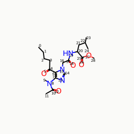 CCCCC(=O)c1c(N(C)C(C)=O)ncn1CC(=O)NC(CC(C)C)C(=O)OC